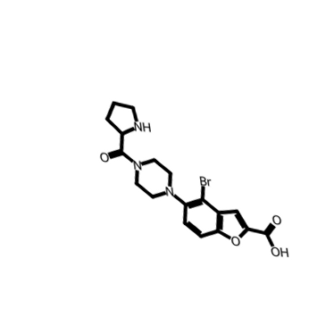 O=C(O)c1cc2c(Br)c(N3CCN(C(=O)C4CCCN4)CC3)ccc2o1